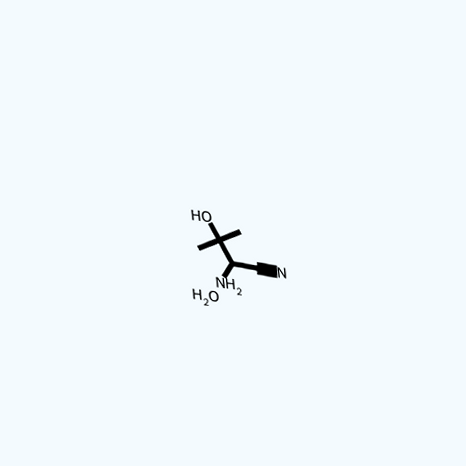 CC(C)(O)C(N)C#N.O